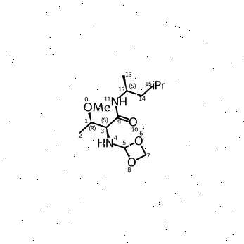 CO[C@H](C)[C@H](NC1OCO1)C(=O)N[C@@H](C)CC(C)C